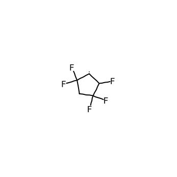 FC1[CH]C(F)(F)CC1(F)F